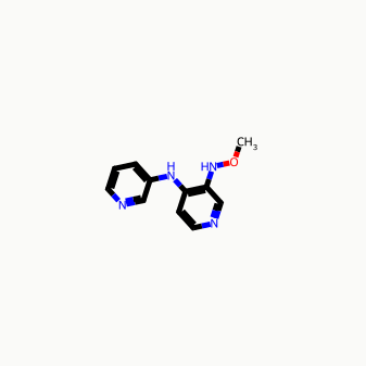 CONc1cnccc1Nc1cccnc1